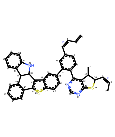 C=C/C=C\c1ccc(-c2ncnc3c2C(C)C(/C=C\C)S3)c(-c2ccc3sc4c(c3c2)C2Nc3ccccc3C2c2ccccc2-4)c1